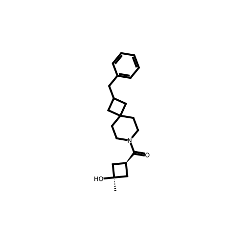 C[C@]1(O)C[C@@H](C(=O)N2CCC3(CC2)CC(Cc2ccccc2)C3)C1